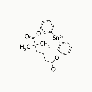 CC(C)(CCCC(=O)[O-])C(=O)[O-].c1cc[c]([Sn+2][c]2ccccc2)cc1